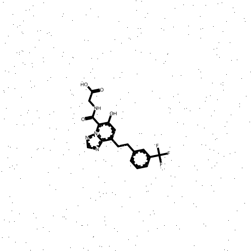 O=C(O)CNC(=O)c1c(O)cc(CCc2cccc(C(F)(F)F)c2)c2ncnn12